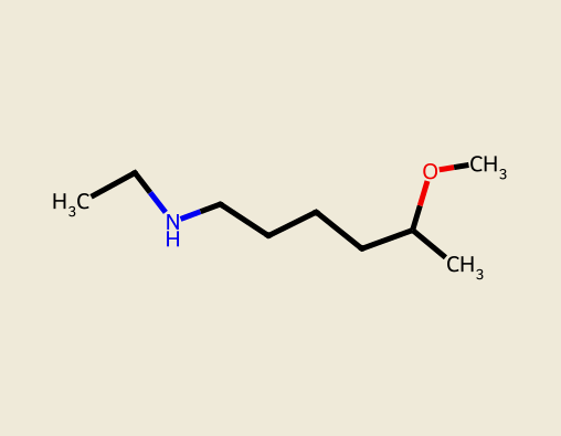 CCNCCCCC(C)OC